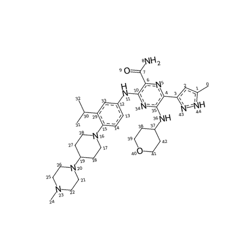 Cc1cc(-c2nc(C(N)=O)c(Nc3ccc(N4CCC(N5CCN(C)CC5)CC4)c(C(C)C)c3)nc2NC2CCOCC2)n[nH]1